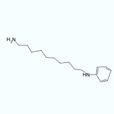 NCCCCCCCCCCNc1ccccc1